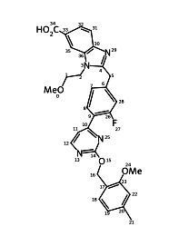 COCCn1c(Cc2ccc(-c3ccnc(OCc4ccc(C)cc4OC)n3)c(F)c2)nc2ccc(C(=O)O)cc21